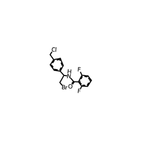 O=C(NC(CBr)c1ccc(CCl)cc1)c1c(F)cccc1F